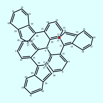 c1cn[c]([Ir]([c]2ncccc2-c2scc3ccccc23)[c]2ncccc2-c2scc3ccccc23)c(-c2scc3ccccc23)c1